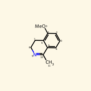 COc1cccc2c1CCN=C2C